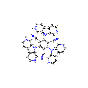 N#Cc1c(-n2c3cnccc3c3ccncc32)c(C#N)c(-n2c3cnccc3c3ccncc32)c(C#N)c1-n1c2cnccc2c2ccncc21